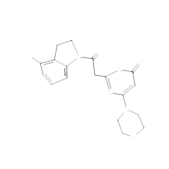 C[C@H]1Cc2c(Br)cccc2N1C(=O)Cc1nc(N2CCOCC2)cc(=O)[nH]1